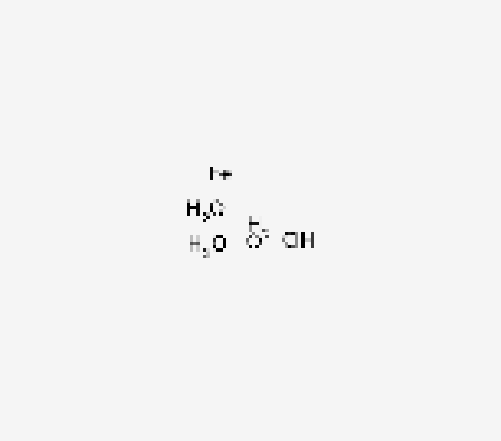 Cl.O.O.O.[Fe]